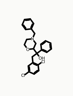 OC(Cc1cc(Cl)ccc1Cl)(c1ccccc1)C1CN(Cc2ccccc2)CCO1